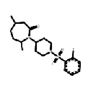 CC1CCC(C)N(C2CCN(S(=O)(=O)c3ccccc3F)CC2)C(=O)C1